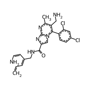 C=C/C=C(\C=C/N)CNC(=O)c1cn2c(-c3ccc(Cl)cc3Cl)c(CN)c(C)nc2n1